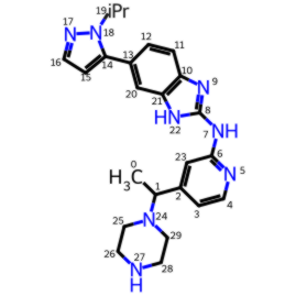 CC(c1ccnc(Nc2nc3ccc(-c4ccnn4C(C)C)cc3[nH]2)c1)N1CCNCC1